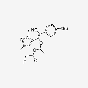 Cc1cc(/C(OC(C)OC(=O)CF)=C(\C#N)c2ccc(C(C)(C)C)cc2)n(C)n1